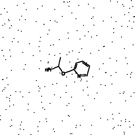 C[CH]CC(C)Oc1ccccn1